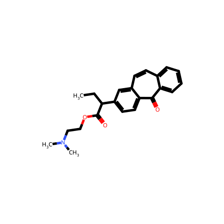 CCC(C(=O)OCCN(C)C)c1ccc2c(=O)c3ccccc3ccc2c1